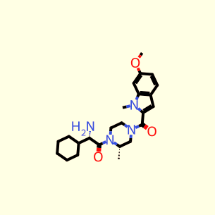 COc1ccc2cc(C(=O)N3CCN(C(=O)[C@@H](N)C4CCCCC4)[C@@H](C)C3)n(C)c2c1